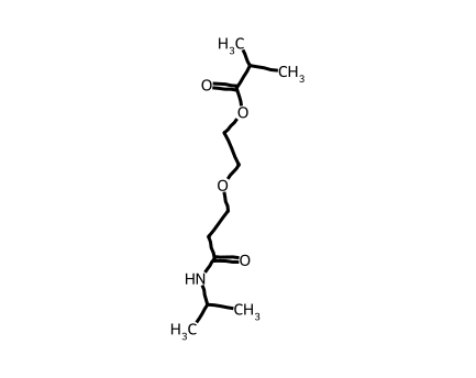 CC(C)NC(=O)CCOCCOC(=O)C(C)C